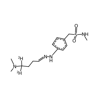 [2H]C([2H])(CC/C=N/Nc1ccc(CS(=O)(=O)NC)cc1)N(C)C